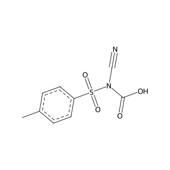 Cc1ccc(S(=O)(=O)N(C#N)C(=O)O)cc1